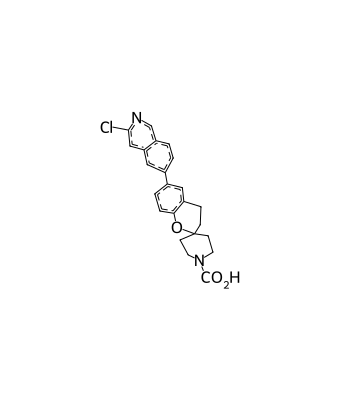 O=C(O)N1CCC2(CCc3cc(-c4ccc5cnc(Cl)cc5c4)ccc3O2)CC1